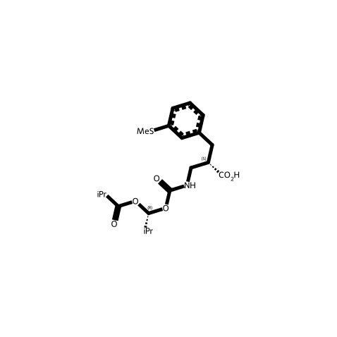 CSc1cccc(C[C@@H](CNC(=O)O[C@@H](OC(=O)C(C)C)C(C)C)C(=O)O)c1